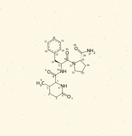 CC1CCC(=O)NC1C(=O)N[C@@H](Cc1ccccc1)C(=O)N1CCC[C@H]1C(N)=O